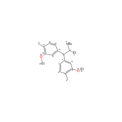 CCCCC(CC)C(c1ccc(C)c(OCC)c1)c1ccc(C)c(OCC)c1